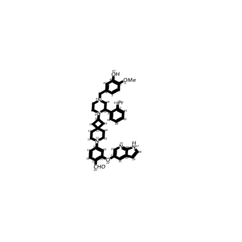 COc1ccc(CN2CCN(C3CC4(CCN(c5ccc(C=O)c(Oc6cnc7[nH]ccc7c6)c5)CC4)C3)C(c3ccccc3C(C)C)C2)cc1O